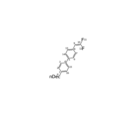 CCCCCCCCCCc1ccc(-c2ccc(C=C(F)F)cc2)cc1